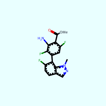 COC(=O)c1c(F)cc(-c2c(F)ccc3cnn(C)c23)c(F)c1N